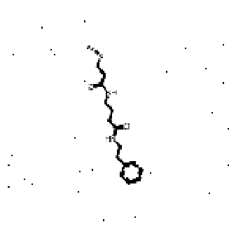 CC(=O)SCCC(=O)NCCCC(=O)NCCc1ccccc1